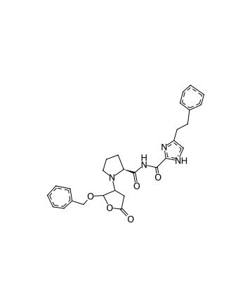 O=C1CC(N2CCC[C@H]2C(=O)NC(=O)c2nc(CCc3ccccc3)c[nH]2)C(OCc2ccccc2)O1